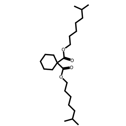 CC(C)CCCCCOC(=O)C1(C(=O)OCCCCCC(C)C)CCCCC1